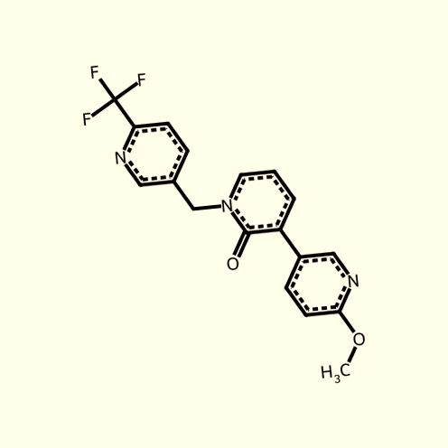 COc1ccc(-c2cccn(Cc3ccc(C(F)(F)F)nc3)c2=O)cn1